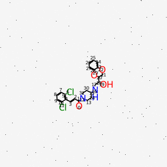 O=C(C=Cc1c(Cl)cccc1Cl)N1CCC(NCC(O)C2COc3ccccc3O2)CC1